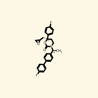 C[C@@H](c1ccc(-c2ccc(F)cc2)cc1)N1CC[C@](CC2CO2)(c2ccc(F)cc2)OC1=O